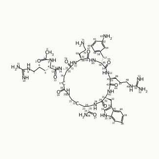 CC(=O)N[C@@H](CCCNC(=N)N)C(=O)N[C@H]1CCC(=O)NCCC[C@@H](C(N)=O)NC(=O)[C@H](Cc2c[nH]c3ccccc23)NC(=O)[C@H](CCCNC(=N)N)NC(=O)[C@@H](Cc2cccc(N)c2)NC(=O)[C@H](CCN)NC1=O